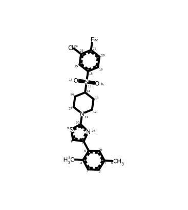 Cc1ccc(C)c(-c2csc(N3CCC(S(=O)(=O)c4ccc(F)c(Cl)c4)CC3)n2)c1